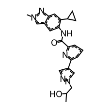 CC(O)Cn1cc(-c2cccc(C(=O)Nc3cc4cn(C)nc4cc3C3CC3)n2)cn1